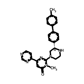 Cc1ccc(-c2ccc([C@H]3CN(c4nc(-c5ccncn5)cc(=O)n4C)CCN3)cc2)cc1